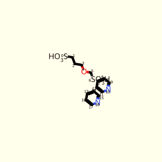 O=S(=O)(O)CCCOCS(=O)(=O)O.c1ccncc1.c1ccncc1